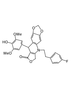 COc1cc(C2C3=C(COC3=O)N(CCc3ccc(F)cc3)c3cc4c(cc32)OCO4)cc(OC)c1O